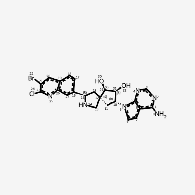 Nc1ncnc2c1ccn2[C@@H]1C[C@@]2(CN[C@@H](c3ccc4cc(Br)c(Cl)nc4c3)C2)[C@@H](O)[C@H]1O